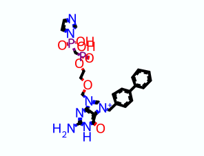 Nc1nc2c(c(=O)[nH]1)[n+](Cc1ccc(-c3ccccc3)cc1)cn2COCCOP(=O)(O)CP(=O)(O)n1ccnc1